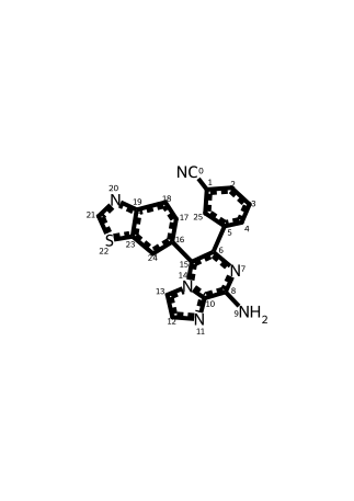 N#Cc1cccc(-c2nc(N)c3nccn3c2-c2ccc3ncsc3c2)c1